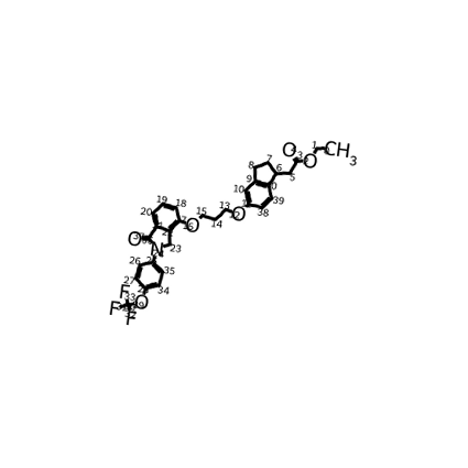 CCOC(=O)CC1CCc2cc(OCCCOc3cccc4c3CN(c3ccc(OC(F)(F)F)cc3)C4=O)ccc21